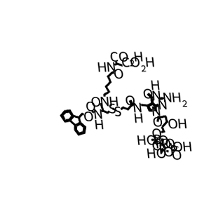 Nc1nc2c(c(CNC(=O)CCSSCC(NC(=O)OCC3c4ccccc4-c4ccccc43)C(=O)NCCCCCC(=O)NC(CC(=O)O)C(=O)O)cn2C2CC(O)C(COP(=O)(O)OP(=O)(O)OP(=O)(O)O)O2)c(=O)[nH]1